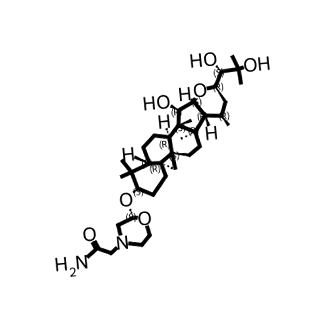 C[C@@H]1C[C@H]([C@H](O)C(C)(C)O)O[C@H]2[C@H]1[C@@]1(C)CC[C@@]34C[C@@]35CC[C@H](O[C@H]3CN(CC(N)=O)CCO3)C(C)(C)[C@@H]5CC[C@H]4[C@]1(C)[C@H]2O